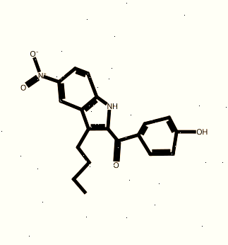 CCCCc1c(C(=O)c2ccc(O)cc2)[nH]c2ccc([N+](=O)[O-])cc12